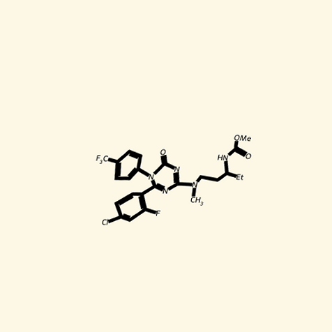 CCC(CCN(C)c1nc(-c2ccc(Cl)cc2F)n(-c2ccc(C(F)(F)F)cc2)c(=O)n1)NC(=O)OC